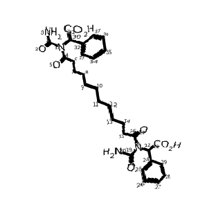 NC(=O)N(C(=O)CCCCCCCCCCC(=O)N(C(N)=O)C(C(=O)O)c1ccccc1)C(C(=O)O)c1ccccc1